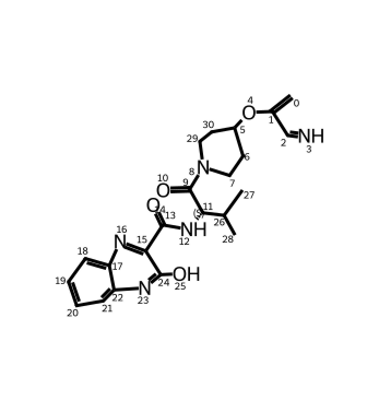 C=C(C=N)OC1CCN(C(=O)[C@@H](NC(=O)c2nc3ccccc3nc2O)C(C)C)CC1